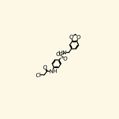 O=C(CCl)Nc1ccc(S(=O)(=O)NCc2ccc3c(c2)OCO3)cc1